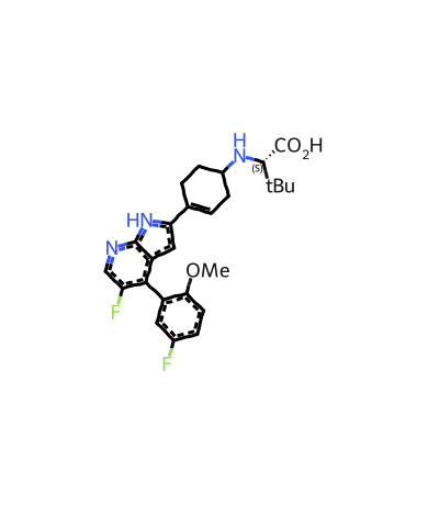 COc1ccc(F)cc1-c1c(F)cnc2[nH]c(C3=CCC(N[C@H](C(=O)O)C(C)(C)C)CC3)cc12